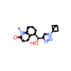 Cn1c(=O)ccc2c(C(O)c3cn(C45CC(C4)C5)nn3)cccc21